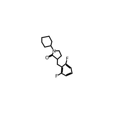 O=C1C(Cc2c(F)cccc2F)CCN1C1CCCCC1